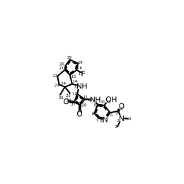 CN(C)C(=O)c1nccc(Nc2c(NC3c4c(F)cccc4CCC3(C)C)c(=O)c2=O)c1O